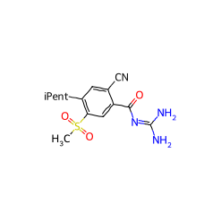 CCCC(C)c1cc(C#N)c(C(=O)N=C(N)N)cc1S(C)(=O)=O